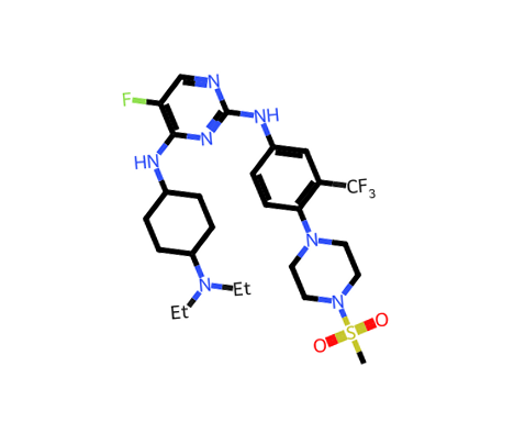 CCN(CC)C1CCC(Nc2nc(Nc3ccc(N4CCN(S(C)(=O)=O)CC4)c(C(F)(F)F)c3)ncc2F)CC1